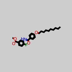 CCCCCCCCCCOc1ccc(C(=O)Nc2cc(C(=O)OC)ccc2F)cc1